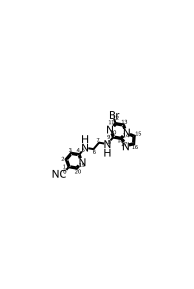 N#Cc1ccc(NCCNc2nc(Br)cn3ccnc23)nc1